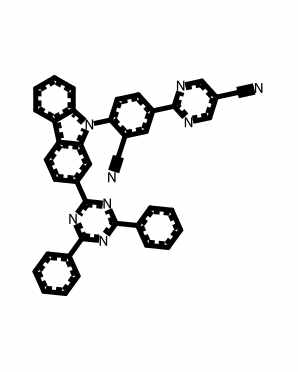 N#Cc1cnc(-c2ccc(-n3c4ccccc4c4ccc(-c5nc(-c6ccccc6)nc(-c6ccccc6)n5)cc43)c(C#N)c2)nc1